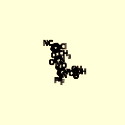 Cc1ncn(Cc2cc(C(F)F)nn(COP(=O)(O)O)c2=O)c(=O)c1Oc1cc(Cl)cc(C#N)c1